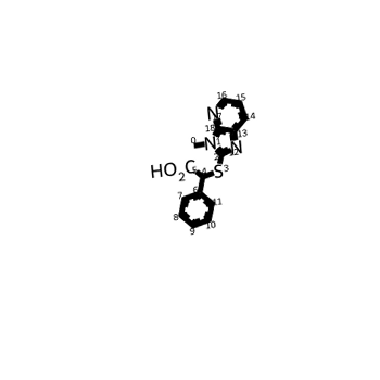 Cn1c(SC(C(=O)O)c2ccccc2)nc2cccnc21